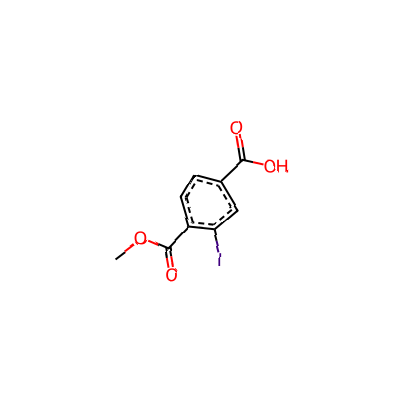 COC(=O)c1ccc(C(=O)O)cc1I